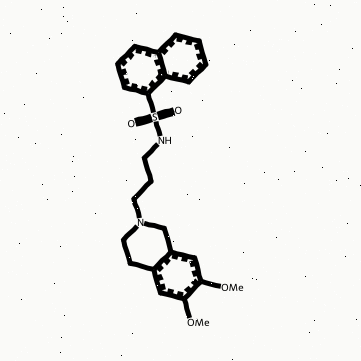 COc1cc2c(cc1OC)CN(CCCNS(=O)(=O)c1cccc3ccccc13)CC2